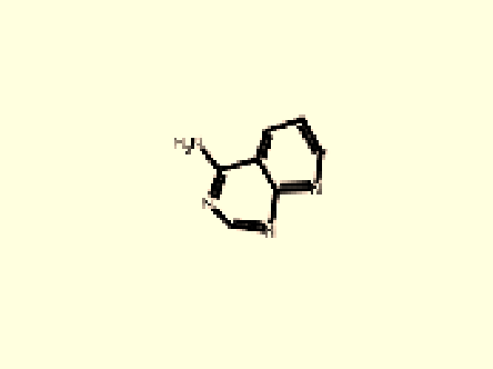 Nc1ncnc2n[c]ccc12